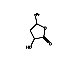 CCCC1CC(O)C(=O)O1